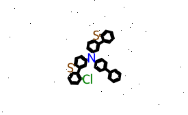 Clc1cccc2sc3ccc(N(c4ccc(-c5ccccc5)cc4)c4ccc5sc6ccccc6c5c4)cc3c12